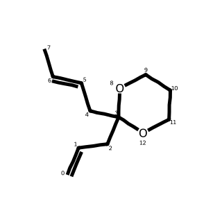 C=CCC1(C/C=C/C)OCCCO1